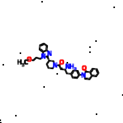 COCCCn1c([C@@H]2CCCN(C(=O)C[C@H](N)Cc3ccc(-n4ccc5ccccc5c4=O)cc3)C2)nc2ccccc21